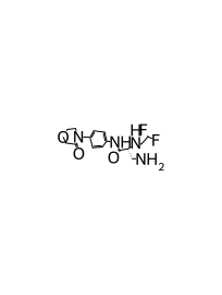 NC[C@@H](NCC(F)F)C(=O)Nc1ccc(N2CCOCC2=O)cc1